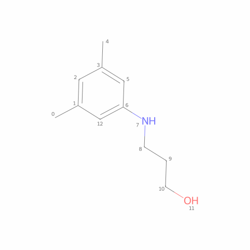 Cc1cc(C)cc(NCCCO)c1